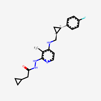 O=C(CC1CC1)NNc1nccc(NC[C@H]2C[C@@H]2c2ccc(F)cc2)c1C(F)(F)F